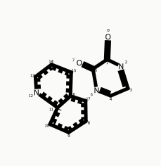 O=C1N=CC=NC1=O.c1ccc2ncccc2c1